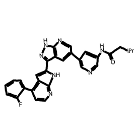 CC(C)CC(=O)Nc1cncc(-c2cnc3[nH]nc(-c4cc5c(-c6ccccc6F)ccnc5[nH]4)c3c2)c1